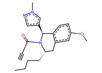 C#CC(=O)N1[C@@H](CCCC)Cc2cc(OC)ccc2[C@@H]1c1cnn(C)c1